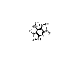 FNc1cc(NF)c(NF)c(NF)c1NF